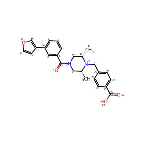 C[C@@H]1CN(C(=O)c2cccc(-c3ccoc3)c2)C[C@H](C)N1Cc1ccc(C(=O)O)cc1